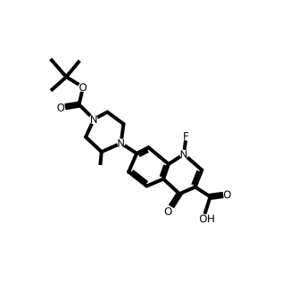 CC1CN(C(=O)OC(C)(C)C)CCN1c1ccc2c(=O)c(C(=O)O)cn(F)c2c1